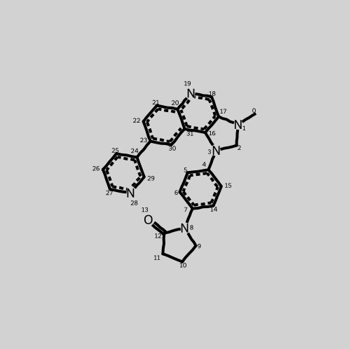 CN1CN(c2ccc(N3CCCC3=O)cc2)c2c1cnc1ccc(-c3cccnc3)cc21